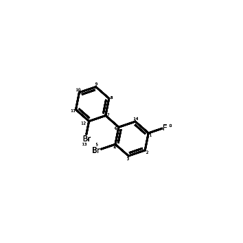 Fc1ccc(Br)c(-c2ccccc2Br)c1